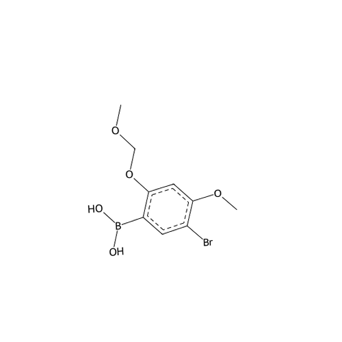 COCOc1cc(OC)c(Br)cc1B(O)O